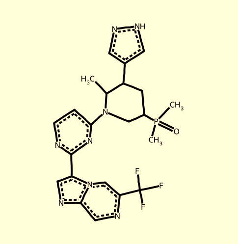 CC1C(c2cn[nH]c2)CC(P(C)(C)=O)CN1c1ccnc(-c2cnc3cnc(C(F)(F)F)cn23)n1